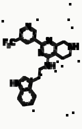 FC(F)(F)c1cncc(-c2nc3c(c(NCCc4c[nH]c5ccccc45)n2)CCNC3)c1